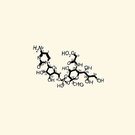 Nc1ccn(C2OC(COP(=O)(O)O[C@@]3(C=O)CC(O)[C@@H](NC(=O)CC(=O)O)C([C@H](O)[C@H](O)CO)O3)[C@@H](O)[C@H]2O)c(=O)n1